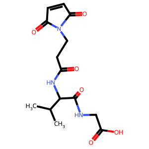 CC(C)C(NC(=O)CCN1C(=O)C=CC1=O)C(=O)NCC(=O)O